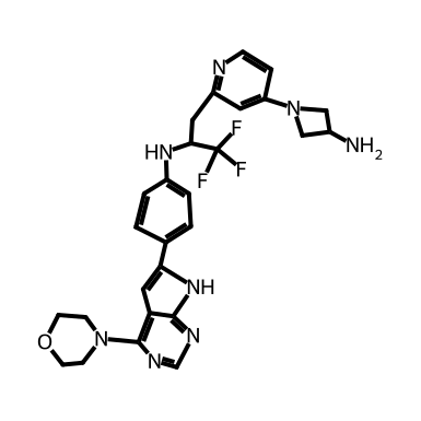 NC1CN(c2ccnc(CC(Nc3ccc(-c4cc5c(N6CCOCC6)ncnc5[nH]4)cc3)C(F)(F)F)c2)C1